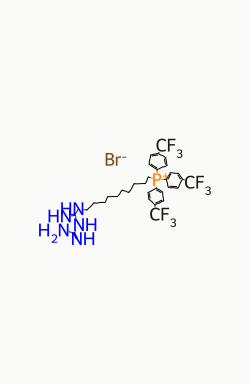 N=C(N)NC(=N)NCCCCCCCCCC[P+](c1ccc(C(F)(F)F)cc1)(c1ccc(C(F)(F)F)cc1)c1ccc(C(F)(F)F)cc1.[Br-]